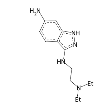 CCN(CC)CCNc1n[nH]c2cc(N)ccc12